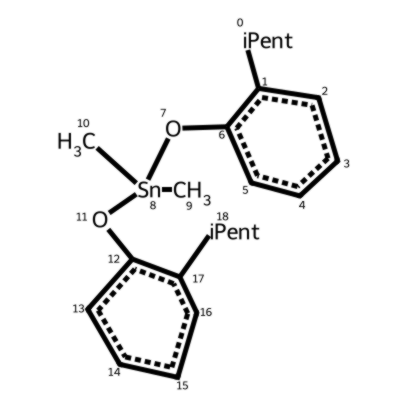 CCCC(C)c1ccccc1[O][Sn]([CH3])([CH3])[O]c1ccccc1C(C)CCC